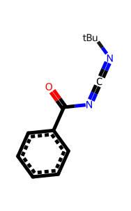 CC(C)(C)N=C=NC(=O)c1ccccc1